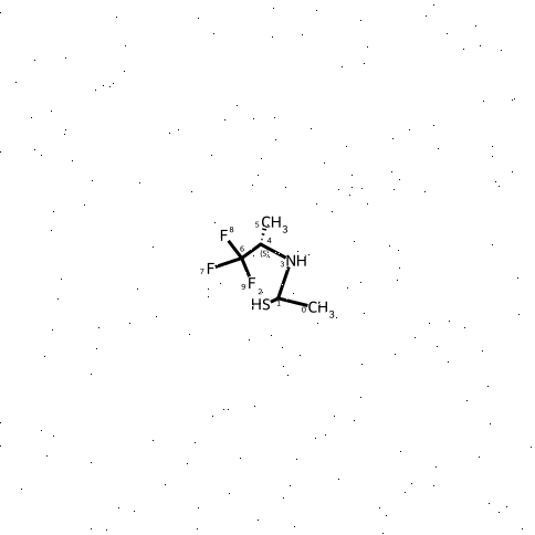 CC(S)N[C@@H](C)C(F)(F)F